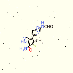 Cc1c(F)c(C(N)=O)c2[nH]ncc2c1-c1ccc2nc(NC=O)cn2c1